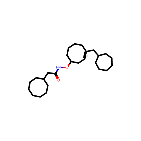 O=C(CC1CCCCCCC1)NOC1C/C=C(/CC2CCCCCC2)CCCC1